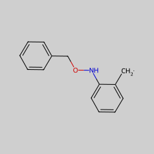 [CH2]c1ccccc1NOCc1ccccc1